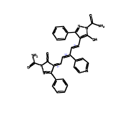 NC(=O)N1N=C(c2ccccc2)/C(=C/C=C(/C=C/c2c(-c3ccccc3)nn(C(N)=O)c2O)c2ccncc2)C1=O